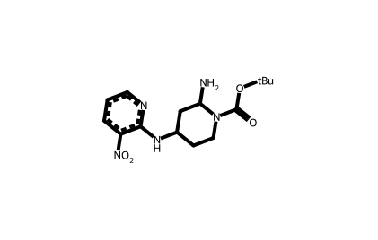 CC(C)(C)OC(=O)N1CCC(Nc2ncccc2[N+](=O)[O-])CC1N